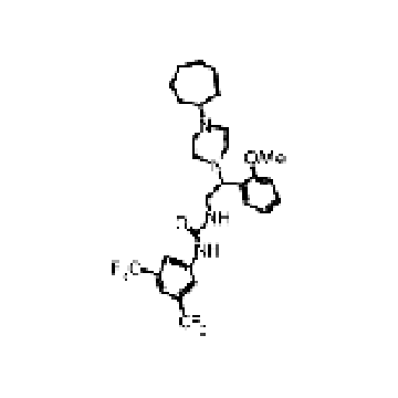 COc1ccccc1C(CNC(=O)Nc1cc(C(F)(F)F)cc(C(F)(F)F)c1)N1CCN(C2CCCCCC2)CC1